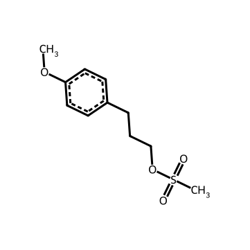 COc1ccc(CCCOS(C)(=O)=O)cc1